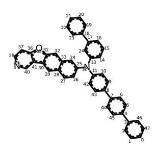 c1ccc(-c2ccc(-c3ccc(N(c4cccc(-c5ccccc5)c4)c4ccc5cc6c(cc5c4)oc4ccncc46)cc3)cc2)cc1